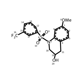 COc1ccc2c(c1)N(S(=O)(=O)c1cccc(C(F)(F)F)c1)CC(O)C2